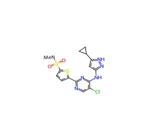 CNS(=O)(=O)c1ccc(-c2ncc(Cl)c(Nc3cc(C4CC4)[nH]n3)n2)s1